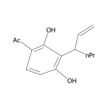 C=CC(CCC)c1c(O)ccc(C(C)=O)c1O